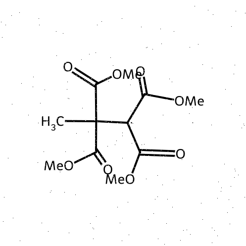 COC(=O)[C](C(=O)OC)C(C)(C(=O)OC)C(=O)OC